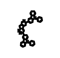 c1ccc(-n2c3ccccc3c3cc(-c4cc5c(cn4)Cc4nnc(-c6ccc7c(c6)c6ccccc6n7-c6ccccc6)cc4-5)ccc32)cc1